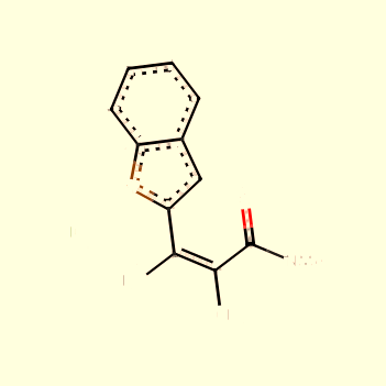 CNC(=O)C(C)=C(C)c1cc2ccccc2s1.Cl